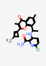 Cc1cc(C(C)Nc2ccc(Cl)nc2C(N)=O)c2oc(C34CC(C(F)(F)F)(C3)C4)c(C)c(=O)c2c1